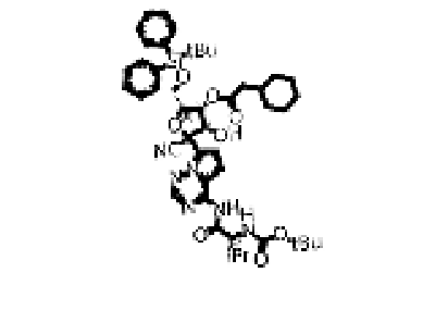 CC(C)[C@H](NC(=O)OC(C)(C)C)C(=O)Nc1ncnn2c([C@]3(C#N)O[C@H](CO[Si](c4ccccc4)(c4ccccc4)C(C)(C)C)[C@@H](OC(=O)CC4CCCCC4)[C@H]3O)ccc12